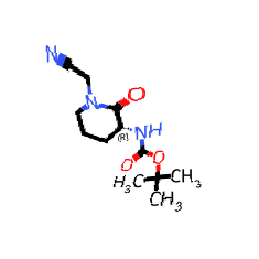 CC(C)(C)OC(=O)N[C@@H]1CCCN(CC#N)C1=O